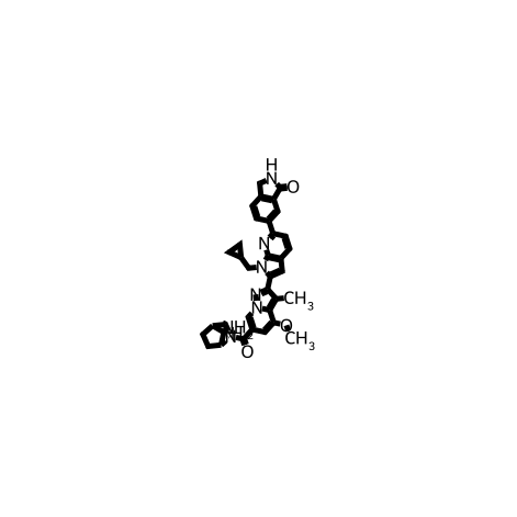 COc1cc(C(=O)N2CC3CCC2[C@@H]3N)cn2nc(-c3cc4ccc(-c5ccc6c(c5)C(=O)NC6)nc4n3CC3CC3)c(C)c12